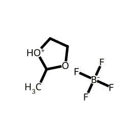 CC1OCC[OH+]1.F[B-](F)(F)F